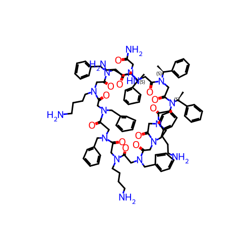 C[C@@H](c1ccccc1)N(CC(N)=O)C(=O)CN(Cc1ccccc1)C(=O)CN(CCCCN)C(=O)CN(Cc1ccccc1)C(=O)CN(Cc1ccccc1)C(=O)CN(CCCCN)C(=O)CN(Cc1ccccc1)C(=O)CN(Cc1ccccc1)C(=O)CN(CCCCN)C(=O)CN(C(=O)CN(C(=O)CNCCCCN)[C@@H](C)c1ccccc1)[C@@H](C)c1ccccc1